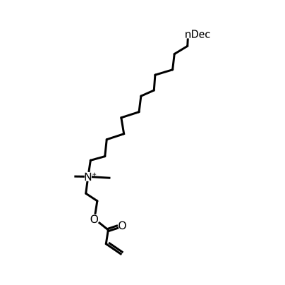 C=CC(=O)OCC[N+](C)(C)CCCCCCCCCCCCCCCCCCCCCC